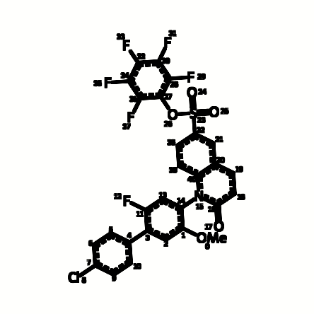 COc1cc(-c2ccc(Cl)cc2)c(F)cc1-n1c(=O)ccc2cc(S(=O)(=O)Oc3c(F)c(F)c(F)c(F)c3F)ccc21